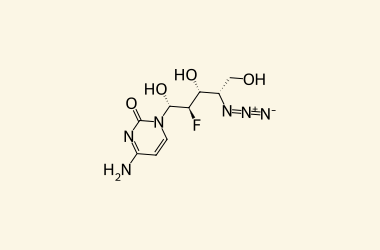 [N-]=[N+]=N[C@@H](CO)[C@@H](O)[C@@H](F)[C@@H](O)n1ccc(N)nc1=O